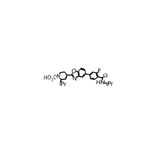 CC(C)NC(=O)c1ccc(-c2ccc3oc(C4CCN(C(=O)O)C(C(C)C)C4)nc3c2)cc1F